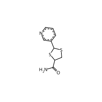 NC(=O)C1CSC(c2cccnc2)S1